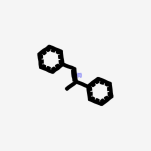 C/C(=C\c1ccccc1)c1ccccc1